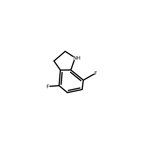 Fc1ccc(F)c2c1CCN2